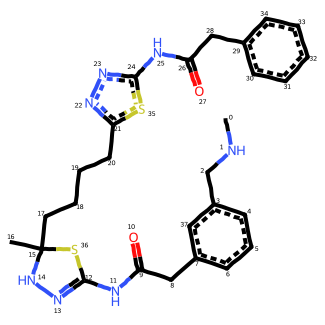 CNCc1cccc(CC(=O)NC2=NNC(C)(CCCCc3nnc(NC(=O)Cc4ccccc4)s3)S2)c1